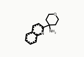 NC1(c2ccc3ccccc3n2)CCOCC1